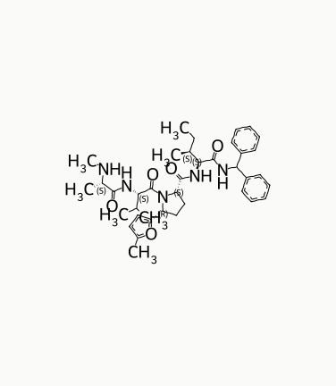 CC[C@H](C)[C@H](NC(=O)[C@@H]1CC[C@H](c2ccc(C)o2)N1C(=O)[C@@H](NC(=O)[C@H](C)NC)C(C)C)C(=O)NC(c1ccccc1)c1ccccc1